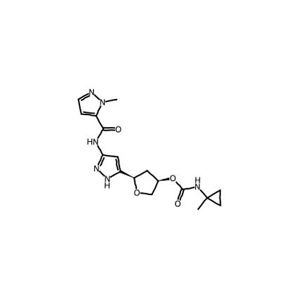 Cn1nccc1C(=O)Nc1cc([C@H]2C[C@@H](OC(=O)NC3(C)CC3)CO2)[nH]n1